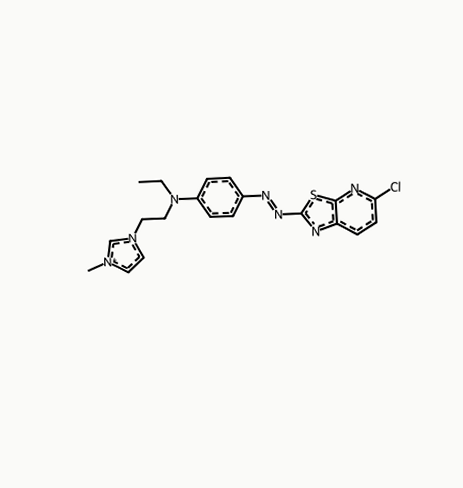 CCN(CCn1cc[n+](C)c1)c1ccc(N=Nc2nc3ccc(Cl)nc3s2)cc1